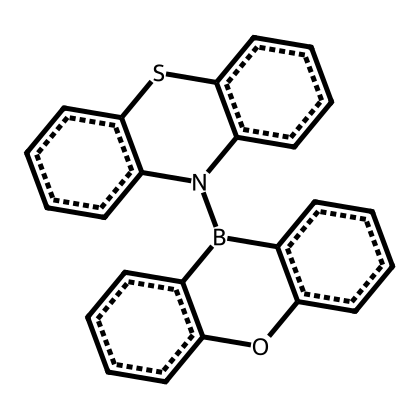 c1ccc2c(c1)Oc1ccccc1B2N1c2ccccc2Sc2ccccc21